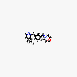 Cc1ccnc(Cc2cccc(CN3CCOCC3)c2)c1